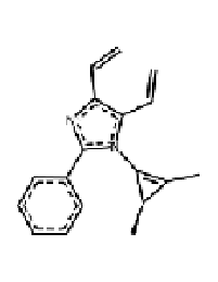 C=Cc1nc(-c2ccccc2)n(C2=C(C)[C@H]2C)c1C=C